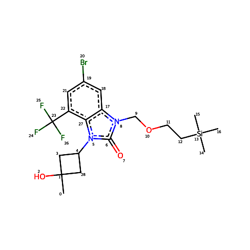 CC1(O)CC(n2c(=O)n(COCC[Si](C)(C)C)c3cc(Br)cc(C(F)(F)F)c32)C1